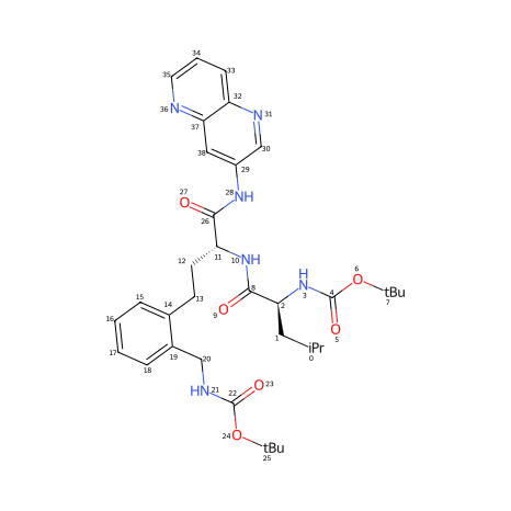 CC(C)C[C@H](NC(=O)OC(C)(C)C)C(=O)N[C@H](CCc1ccccc1CNC(=O)OC(C)(C)C)C(=O)Nc1cnc2cccnc2c1